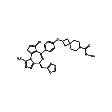 CCc1csc2c1C(c1ccc(OC3CC4(CCN(C(=O)OC(C)(C)C)CC4)C3)cc1)=N[C@@H](Cc1ncco1)c1nnc(C)n1-2